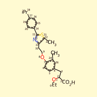 CCOC(Cc1ccc(OCCc2nc(-c3ccc(C(C)C)cc3)sc2C)c(C)c1)C(=O)O